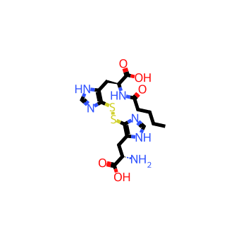 CCCCC(=O)N[C@@H](Cc1[nH]cnc1SSc1nc[nH]c1C[C@H](N)C(=O)O)C(=O)O